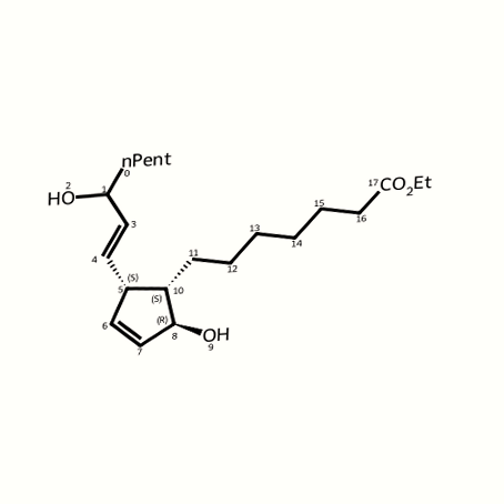 CCCCCC(O)C=C[C@H]1C=C[C@H](O)[C@H]1CCCCCCC(=O)OCC